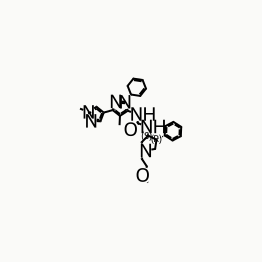 COCCN1C[C@@H](NC(=O)Nc2c(C)c(-c3cnn(C)c3)nn2C2C=CC=CC2)[C@H](c2ccccc2)C1